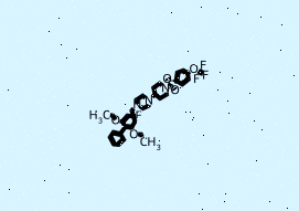 CCOC1=CC(F)(CN2CCN(C3CCN(S(=O)(=O)c4ccc(OC(F)(F)F)cc4)CC3)CC2)CC(OCC)=C1c1ccccc1